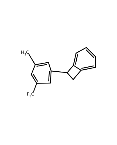 Cc1cc(C2Cc3ccccc32)cc(C(F)(F)F)c1